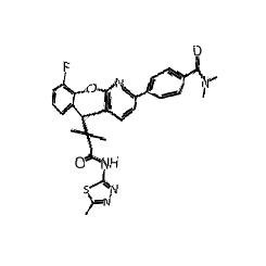 Cc1nnc(NC(=O)C(C)(C)C2c3ccc(-c4ccc(C(=O)N(C)C)cc4)nc3Oc3c(F)cccc32)s1